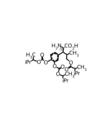 CC(C)C(C)OC(=O)Oc1ccc(C(C(C)COC(=O)C(C)C(C)C)[C@H](N)C(=O)O)cc1OC(=O)OC(C)C(C)C